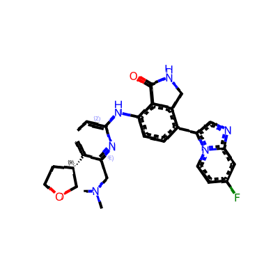 C=C(/C(CN(C)C)=N\C(=C/C)Nc1ccc(-c2cnc3cc(F)ccn23)c2c1C(=O)NC2)[C@H]1CCOC1